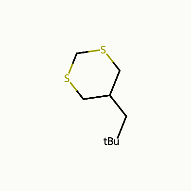 CC(C)(C)CC1CSCSC1